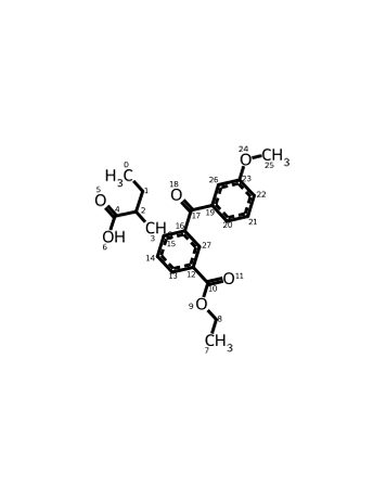 CCC(C)C(=O)O.CCOC(=O)c1cccc(C(=O)c2cccc(OC)c2)c1